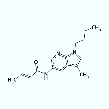 CC=CC(=O)Nc1cnc2c(c1)c(C)cn2CCCC